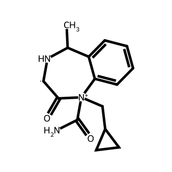 CC1N[CH]C(=O)[N+](CC2CC2)(C(N)=O)c2ccccc21